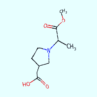 COC(=O)C(C)N1CCC(C(=O)O)C1